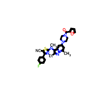 CCc1nn2c(C)cc(N3CCN(C(=O)c4ccco4)CC3)cc2c1N(C)c1nc(-c2ccc(F)cc2)c(C#N)s1